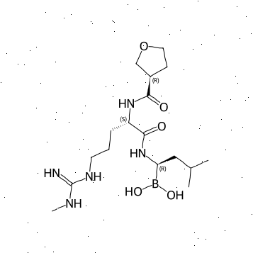 CNC(=N)NCCC[C@H](NC(=O)[C@@H]1CCOC1)C(=O)N[C@@H](CC(C)C)B(O)O